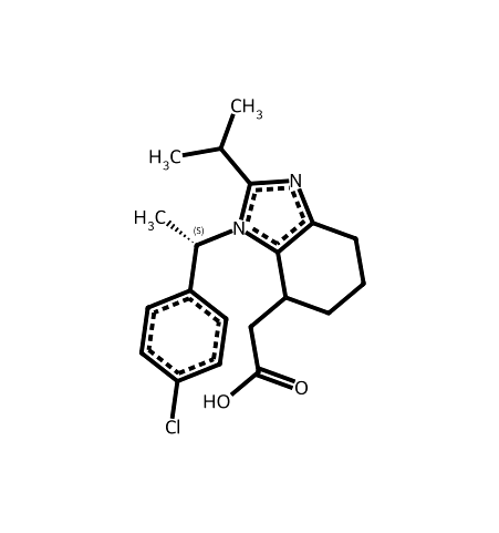 CC(C)c1nc2c(n1[C@@H](C)c1ccc(Cl)cc1)C(CC(=O)O)CCC2